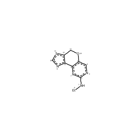 CCNc1ncc2c(n1)-c1ncsc1CO2